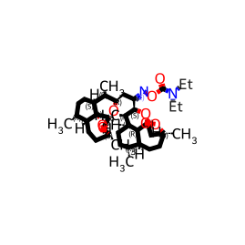 CCN(CC)C(=O)O/N=C(/C[C@H]1O[C@@H]2C[C@]3(C)CC[C@H]4[C@H](C)CC[C@@H]([C@H]1C)[C@@]24OO3)[C@H]1O[C@@H]2C[C@]3(C)CC[C@H]4[C@H](C)CC[C@@H]([C@H]1C)[C@@]24OO3